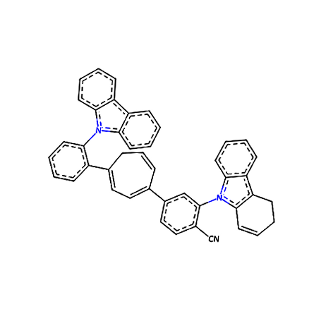 N#Cc1ccc(C2=CC=C(c3ccccc3-n3c4ccccc4c4ccccc43)CC=C2)cc1-n1c2c(c3ccccc31)CCC=C2